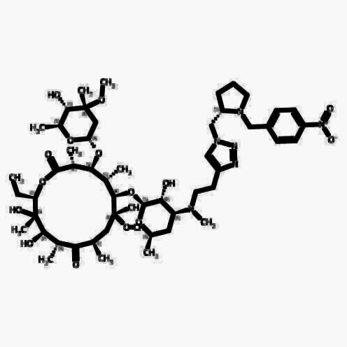 CC[C@H]1OC(=O)[C@H](C)[C@@H](O[C@H]2C[C@@](C)(OC)[C@@H](O)[C@H](C)O2)[C@H](C)[C@@H](O[C@@H]2O[C@H](C)C[C@H](N(C)CCc3cn(C[C@@H]4CCCN4Cc4ccc([N+](=O)[O-])cc4)nn3)[C@H]2O)[C@](C)(OC)C[C@@H](C)C(=O)[C@H](C)[C@@H](O)[C@]1(C)O